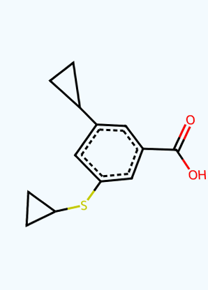 O=C(O)c1cc(SC2CC2)cc(C2CC2)c1